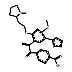 C=C(C(=O)c1ccc(C(=O)O)cc1)c1cc(-c2cccs2)c(OC)cc1OCCC1CCCN1C